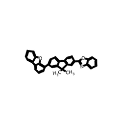 CC1(C)c2cc(-c3nc4ccccc4o3)ccc2-c2ccc(-c3cccc4c3oc3ccccc34)cc21